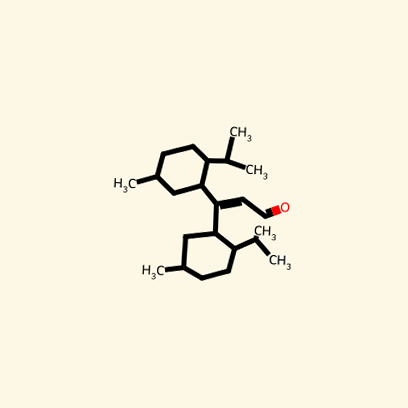 CC1CCC(C(C)C)C(C(=CC=O)C2CC(C)CCC2C(C)C)C1